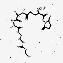 CCC(C)COC(=O)NCCNC(=O)[C@H](C)NC(=O)C(NC(=O)CCC(C(=O)ON1C(=O)CCC1=O)S(=O)(=O)O)C(C)C